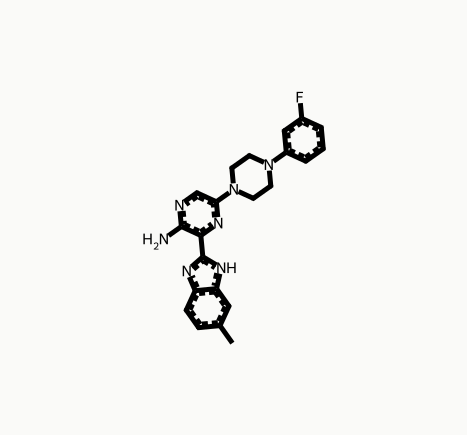 Cc1ccc2nc(-c3nc(N4CCN(c5cccc(F)c5)CC4)cnc3N)[nH]c2c1